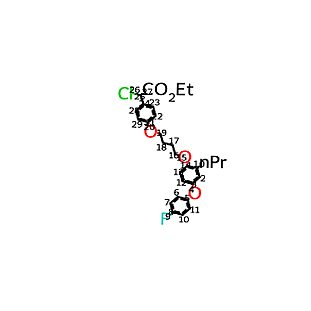 CCCc1cc(Oc2ccc(F)cc2)ccc1OCCCCOc1ccc(C(Cl)C(=O)OCC)cc1